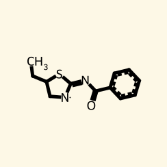 CCC1C[N]C(=NC(=O)c2ccccc2)S1